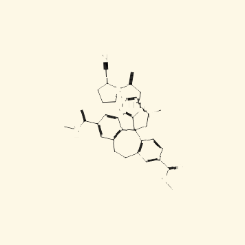 C=C(NC)c1ccc2c(c1)CCc1cc(C(=O)NC)ccc1C2(C[C@H](C)NCC(=C)N1CCCC1C#N)c1nnc[nH]1